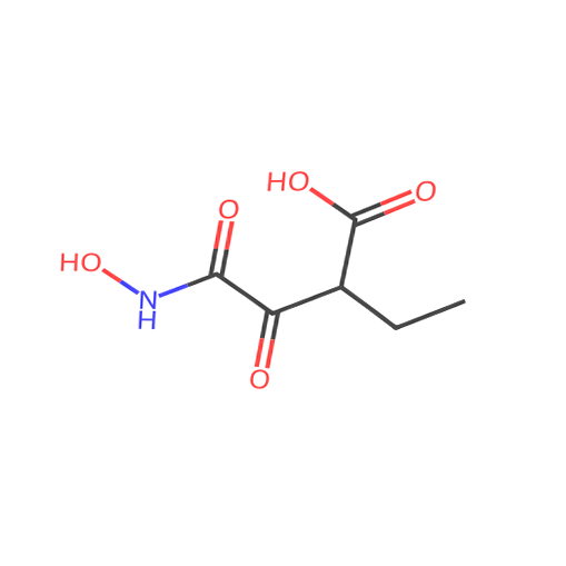 CCC(C(=O)O)C(=O)C(=O)NO